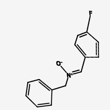 [O-][N+](=Cc1ccc(F)cc1)Cc1ccccc1